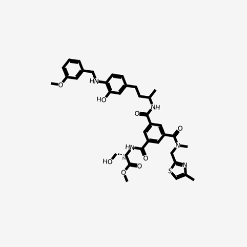 COC(=O)[C@H](CO)NC(=O)c1cc(C(=O)NC(C)CCc2ccc(NCc3cccc(OC)c3)c(O)c2)cc(C(=O)N(C)Cc2nc(C)cs2)c1